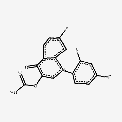 O=C(O)Oc1cn(-c2ccc(F)cc2F)c2cc(F)ccc2c1=O